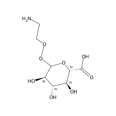 NCCOOC1O[C@H](C(=O)O)[C@@H](O)[C@H](O)[C@H]1O